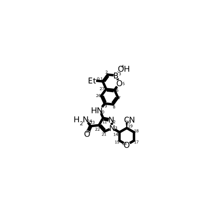 CCC1=CB(O)Oc2ccc(Nc3nn(C4COCC[C@@H]4C#N)cc3C(N)=O)cc21